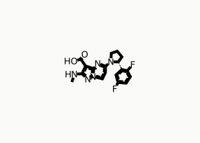 CNc1nn2ccc(N3CCC[C@@H]3c3cc(F)ccc3F)nc2c1C(=O)O